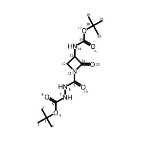 CC(C)(C)OC(=O)NNC(=O)N1CC(NC(=O)OC(C)(C)C)C1=O